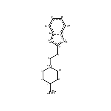 CCCC1CCN(CCc2nc3ccccc3s2)CC1